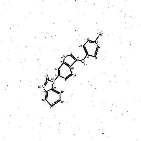 Brc1ccc(Oc2csc3cc(-n4nnc5ccccc54)ccc23)cc1